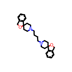 c1ccc2c(c1)COC21CCN(CCCCN2CCC3(CC2)OCc2ccccc23)CC1